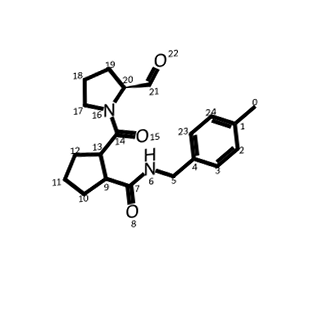 Cc1ccc(CNC(=O)C2CCCC2C(=O)N2CCC[C@H]2C=O)cc1